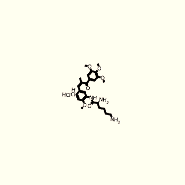 COc1ccc(C=C(C)C(=O)c2cc(OC)c(OC)c(OC)c2)cc1NC(=O)[C@@H](N)CCCCN.Cl.Cl